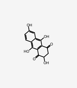 O=C1CC(O)C(=O)c2c1c(O)c1cc(O)ccc1c2O